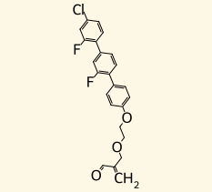 C=C(C=O)COCCOc1ccc(-c2ccc(-c3ccc(Cl)cc3F)cc2F)cc1